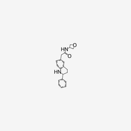 O=C(Cc1ccc2c(c1)CCC(c1ccccc1)N2)NC1COC1